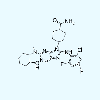 CN(c1ncc2nc(Nc3c(F)cc(F)cc3Cl)n(C3CCC(C(N)=O)CC3)c2n1)[C@H]1CCCC[C@@H]1O